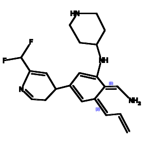 C=C/C=c1/cc(C2C=C(C(F)F)N=CC2)cc(NC2CCNCC2)/c1=C/N